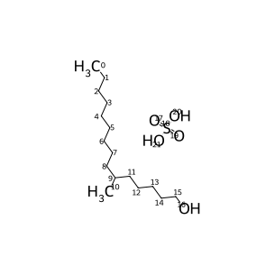 CCCCCCCCCC(C)CCCCCO.O=S(=O)(O)O